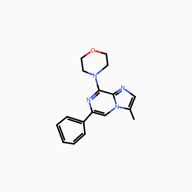 Cc1cnc2c(N3CCOCC3)nc(-c3ccccc3)cn12